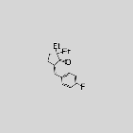 CCC1(CC)CCC(=Cc2ccc(F)cc2)C1=O